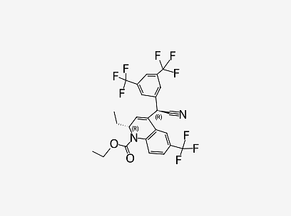 CCOC(=O)N1c2ccc(C(F)(F)F)cc2C([C@H](C#N)c2cc(C(F)(F)F)cc(C(F)(F)F)c2)=C[C@H]1CC